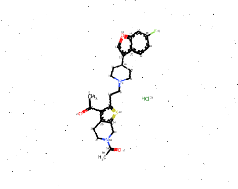 CC(=O)c1c(CCN2CCC(c3coc4cc(F)ccc34)CC2)sc2c1CCN(C(C)=O)C2.Cl